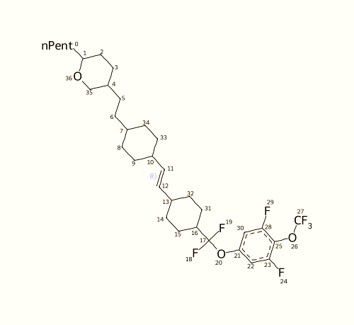 CCCCCC1CCC(CCC2CCC(/C=C/C3CCC(C(F)(F)Oc4cc(F)c(OC(F)(F)F)c(F)c4)CC3)CC2)CO1